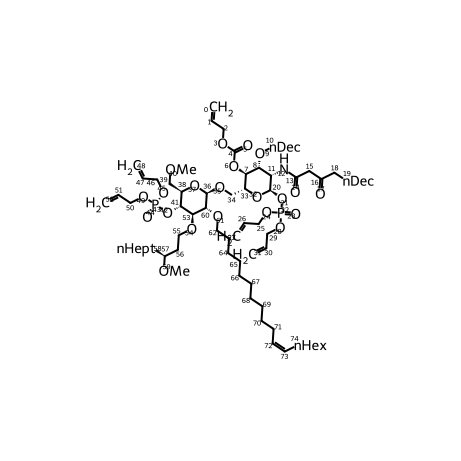 C=CCOC(=O)O[C@H]1[C@H](OCCCCCCCCCC)[C@H](NC(=O)CC(=O)CCCCCCCCCCC)[C@@H](OP(=O)(OCC=C)OCC=C)O[C@@H]1CO[C@@H]1O[C@H](COC)[C@@H](OP(=O)(OCC=C)OCC=C)[C@H](OCC[C@H](CCCCCCC)OC)[C@H]1OCCCCCCCCCC/C=C\CCCCCC